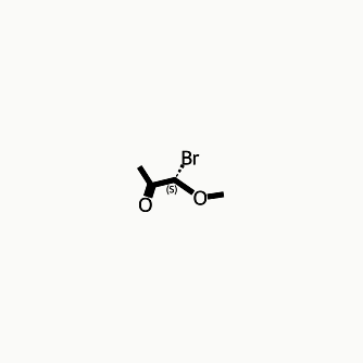 CO[C@@H](Br)C(C)=O